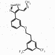 C/N=C\c1[nH]nnc1-c1cccc(OCCc2cc(C(F)(F)F)cc(C(F)(F)F)c2)c1